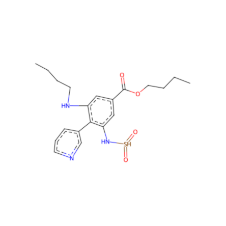 CCCCNc1cc(C(=O)OCCCC)cc(N[SH](=O)=O)c1-c1cccnc1